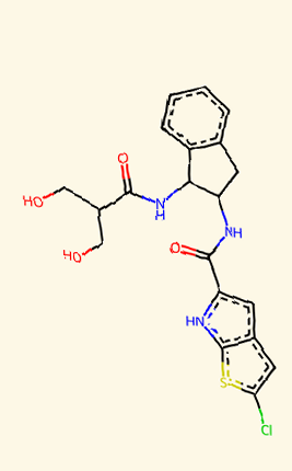 O=C(NC1Cc2ccccc2C1NC(=O)C(CO)CO)c1cc2cc(Cl)sc2[nH]1